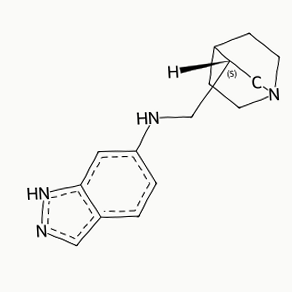 c1cc2cn[nH]c2cc1NC[C@H]1CN2CCC1CC2